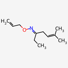 C=CCO/N=C(\CC)CC=C(C)C